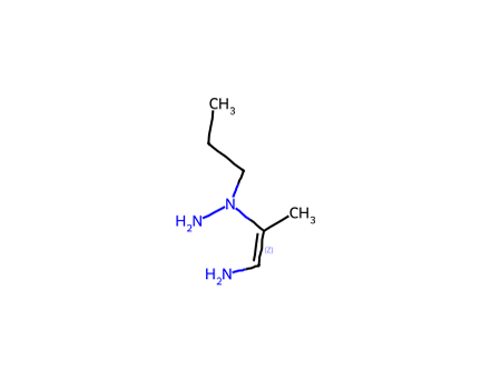 CCCN(N)/C(C)=C\N